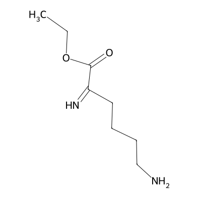 CCOC(=O)C(=N)CCCCN